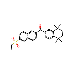 CCS(=O)(=O)c1ccc2cc(C(=O)c3ccc4c(c3)C(C)(C)CCC4(C)C)ccc2c1